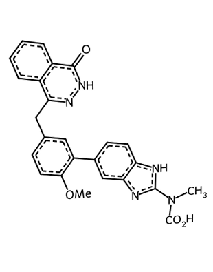 COc1ccc(Cc2n[nH]c(=O)c3ccccc23)cc1-c1ccc2[nH]c(N(C)C(=O)O)nc2c1